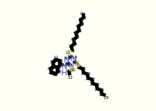 CCCCCCCCCCCCSC1=NC(SCCCCCCCCCCCC)N(SCC)C(Nc2cccc3ccccc23)=N1